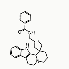 CCC1(CCCNC(=O)c2ccccc2)CCCN2CCc3c([nH]c4ccccc34)C21